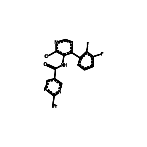 CC(C)c1ncc(C(=O)Nc2c(-c3cccc(F)c3F)ccnc2Cl)cn1